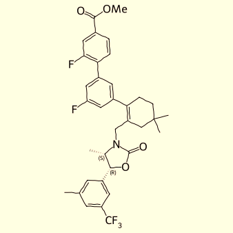 COC(=O)c1ccc(-c2cc(F)cc(C3=C(CN4C(=O)O[C@H](c5cc(C)cc(C(F)(F)F)c5)[C@@H]4C)CC(C)(C)CC3)c2)c(F)c1